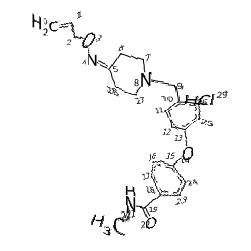 C=CCON=C1CCN(Cc2ccc(Oc3ccc(C(=O)NC)cc3)cc2)CC1.Cl